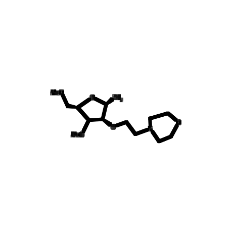 B[C@@H]1O[C@H](COC)C(OC)[C@@H]1OCCN1CCOCC1